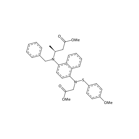 COC(=O)C[C@H](C)N(Cc1ccccc1)c1ccc(N(CC(=O)OC)Sc2ccc(OC)cc2)c2ccccc12